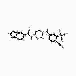 N#Cc1ccc(N[C@H]2CC[C@@H](NC(=O)c3ccc4nccn4c3)CC2)cc1C(F)(F)F